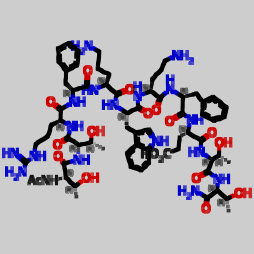 CC(=O)N[C@H](C(=O)N[C@H](C(=O)N[C@@H](CCCNC(=N)N)C(=O)N[C@@H](Cc1ccccc1)C(=O)N[C@@H](CCCN)C(=O)N[C@@H](Cc1c[nH]c2ccccc12)C(=O)N[C@@H](CCCN)C(=O)N[C@@H](Cc1ccccc1)C(=O)N[C@@H](CCC(=O)O)C(=O)N[C@H](C(=O)N[C@H](C(N)=O)[C@@H](C)O)[C@@H](C)O)[C@@H](C)O)[C@@H](C)O